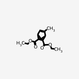 CCOC(=O)C1=C(C(=O)OCC)C2CC1C=C2C